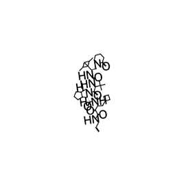 C=CCNC(=O)C(=O)C(CC1CCC1)NC(=O)[C@@H]1[C@H]2CCC[C@H]2CN1C(=O)[C@@H](NC(=O)N[C@H](CN1CCCCC1=O)C12C(C)C1C2C)C(C)(C)C